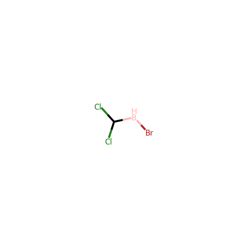 ClC(Cl)BBr